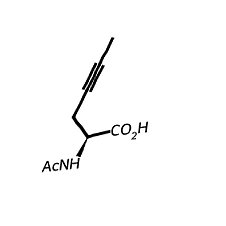 CC#CC[C@H](NC(C)=O)C(=O)O